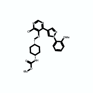 COc1ccccc1-n1cc(-c2ncnc(Cl)c2OC[C@H]2CC[C@@H](NC(=O)OC(C)(C)C)CC2)cn1